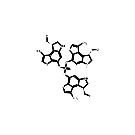 Cc1csc2c(OP(=O)(Oc3cc4c(c5c(C)csc35)[C@H](CCl)CN4)Oc3cc4c(c5c(C)csc35)[C@H](CCl)CN4)cc3c(c12)[C@H](CCl)CN3